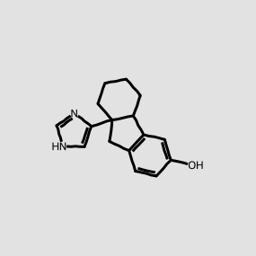 Oc1ccc2c(c1)C1CCCCC1(c1c[nH]cn1)C2